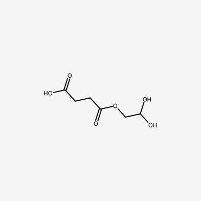 O=C(O)CCC(=O)OCC(O)O